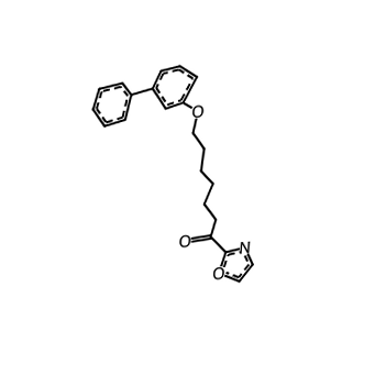 O=C(CCCCCCOc1cccc(-c2ccccc2)c1)c1ncco1